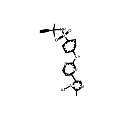 C#CC(C)(C)NS(=O)(=O)c1ccc(Nc2nccc(-c3cnc(C)n3CC)n2)cc1